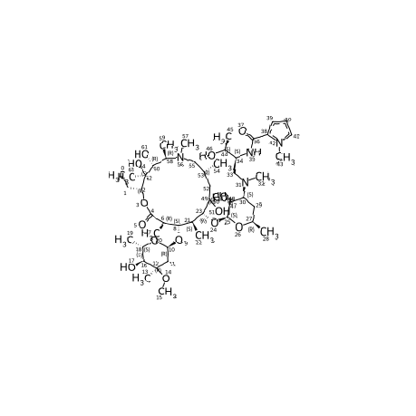 CC[C@H]1OC(=O)[C@H](C)[C@@H](O[C@H]2C[C@@](C)(OC)[C@@H](O)[C@H](C)O2)[C@H](C)[C@@H](O[C@@H]2O[C@H](C)C[C@H](N(C)C[C@H](NC(=O)c3cccn3C)[C@H](C)O)[C@H]2O)[C@](C)(O)C[C@@H](C)CN(C)[C@H](C)[C@@H](O)[C@]1(C)O